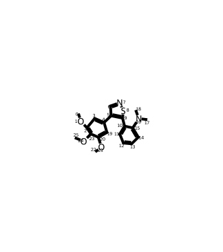 COc1cc(-c2cnsc2-c2ccccc2N(C)C)cc(OC)c1OC